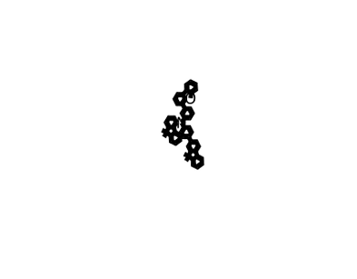 CC1(C)c2ccccc2-c2ccc(-c3ccc(N(c4cccc(-c5cccc6c5oc5ccccc56)c4)c4cccc5c4-c4ccccc4C5(C)C)cc3)cc21